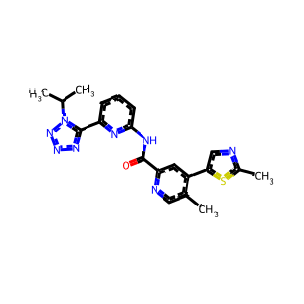 Cc1ncc(-c2cc(C(=O)Nc3cccc(-c4nnnn4C(C)C)n3)ncc2C)s1